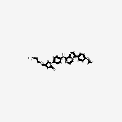 NCCOCC1CC(=O)N(c2ccc(Nc3nccn4c(-c5ccc(OC(F)F)cc5)cnc34)cc2)C1